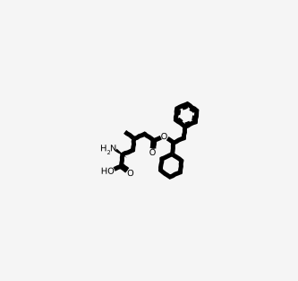 CC(CC(=O)OC(Cc1ccccc1)C1CCCCC1)C[C@H](N)C(=O)O